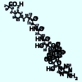 CC(C)(CCc1ccc(CCC(C)(C)C(=O)CCNC(=O)CCNC(=O)C(O)C(C)(C)COP(=O)(O)OP(=O)(O)OCC2OC(n3cnc4c(N)ncnc43)C(O)C2OP(=O)(O)O)cc1)C(=O)O